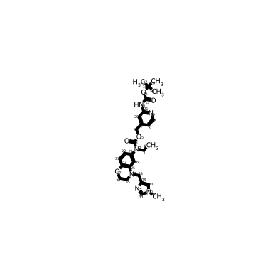 CCN(C(=O)OCc1ccnc(NC(=O)OC(C)(C)C)c1)c1ccc2c(c1)N(Cc1cn(C)cn1)CCO2